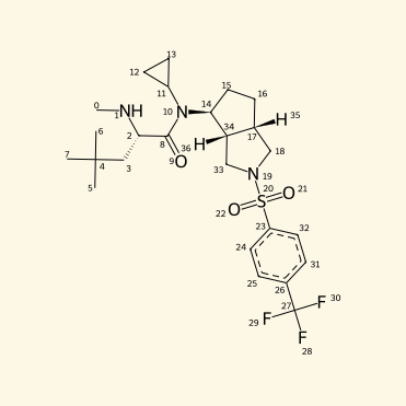 CN[C@@H](CC(C)(C)C)C(=O)N(C1CC1)[C@H]1CC[C@@H]2CN(S(=O)(=O)c3ccc(C(F)(F)F)cc3)C[C@@H]21